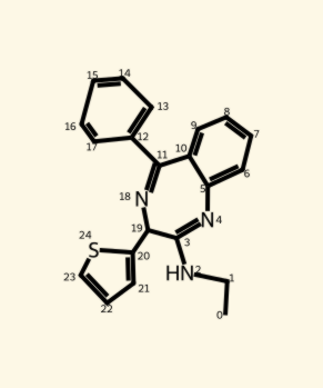 CCNC1=Nc2ccccc2C(c2ccccc2)=NC1c1cccs1